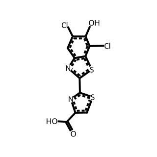 O=C(O)c1csc(-c2nc3cc(Cl)c(O)c(Cl)c3s2)n1